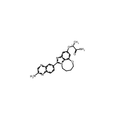 C[C@H](Oc1cc2c3c(c1)nc(-c1ccc4nc(N)cnc4c1)n3CCCCO2)C(N)=O